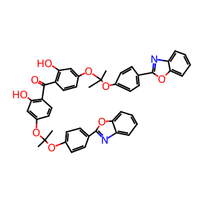 CC(C)(Oc1ccc(-c2nc3ccccc3o2)cc1)Oc1ccc(C(=O)c2ccc(OC(C)(C)Oc3ccc(-c4nc5ccccc5o4)cc3)cc2O)c(O)c1